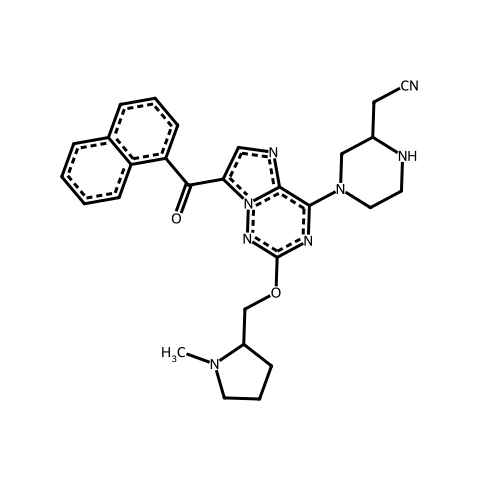 CN1CCCC1COc1nc(N2CCNC(CC#N)C2)c2ncc(C(=O)c3cccc4ccccc34)n2n1